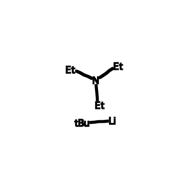 CCN(CC)CC.[Li][C](C)(C)C